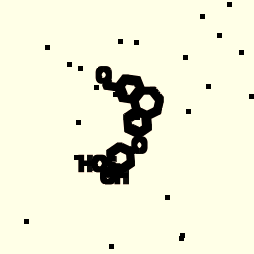 O=Cc1ccc2c(c1)-c1ccc(OC3CCS(O)(O)CC3)cc1CCC2